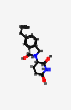 COCc1ccc2c(c1)C(=O)N(C1CCC(=O)NC1=O)C2